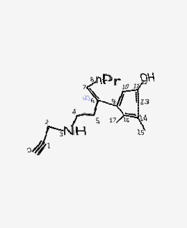 C#CCNCC/C(=C/CCC)c1cc(O)cc(C)c1C